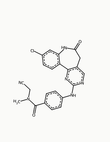 CN(CC#N)C(=O)c1ccc(Nc2ncc3c(n2)-c2ccc(Cl)cc2NC(=O)C3)cc1